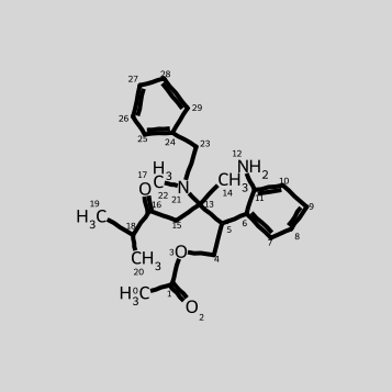 CC(=O)OC[C](c1ccccc1N)C(C)(CC(=O)C(C)C)N(C)Cc1ccccc1